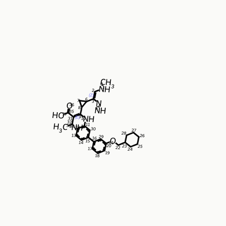 CN/C=C(\N=N)C1CC1/C(Nc1cccc(-c2cccc(OCC3CCCCC3)c2)c1)=C(/C(C)=N)C(=O)O